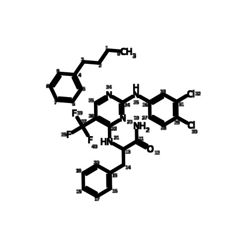 CCCCc1ccccc1.NC(=O)C(Cc1ccccc1)Nc1nc(Nc2ccc(Cl)c(Cl)c2)ncc1C(F)(F)F